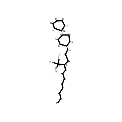 CCCCCCCCC(CCC[C@H]1CC[C@H](C2CCCCC2)CC1)C(F)(F)F